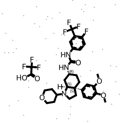 COc1ccc([C@@]23CC[C@@H](NC(=O)Nc4ccc(F)c(C(F)(F)F)c4)C[C@@H]2N(C2CCOCC2)CC3)cc1OC.O=C(O)C(F)(F)F